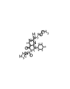 CNC(=O)c1cn(-c2ccccc2)c2nc(NCCOC)ncc2c1=O